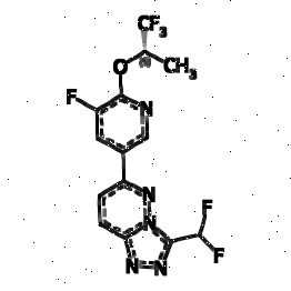 C[C@H](Oc1ncc(-c2ccc3nnc(C(F)F)n3n2)cc1F)C(F)(F)F